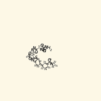 CS(=O)(=O)C(c1nnc(CNS(N)(=O)=O)o1)c1nc2ccc(-c3cccc(C(=O)N4CCC4)c3)cc2s1